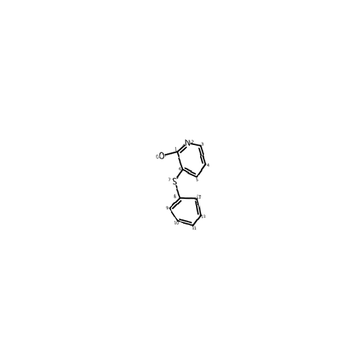 [O]c1ncccc1Sc1ccccc1